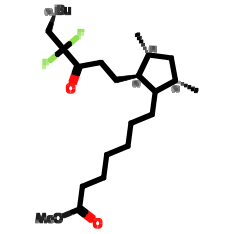 CC[C@H](C)CC(F)(F)C(=O)CC[C@@H]1C(CCCCCCC(=O)OC)[C@@H](C)C[C@H]1C